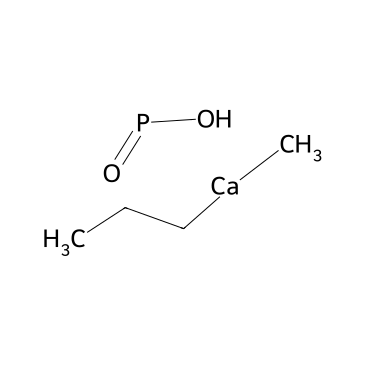 CC[CH2][Ca][CH3].O=PO